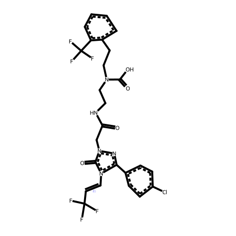 O=C(Cn1nc(-c2ccc(Cl)cc2)n(/C=C/C(F)(F)F)c1=O)NCCN(CCc1ccccc1C(F)(F)F)C(=O)O